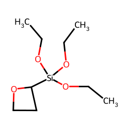 CCO[Si](OCC)(OCC)C1CCO1